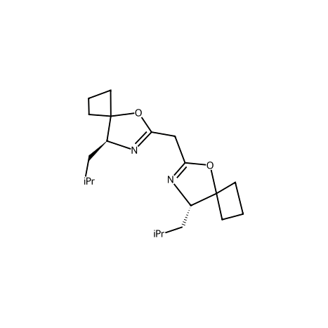 CC(C)C[C@@H]1N=C(CC2=N[C@@H](CC(C)C)C3(CCC3)O2)OC12CCC2